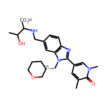 Cc1cc(-c2nc3ccc(CNC(C(=O)O)C(C)O)cc3n2C[C@H]2CCCOC2)cn(C)c1=O